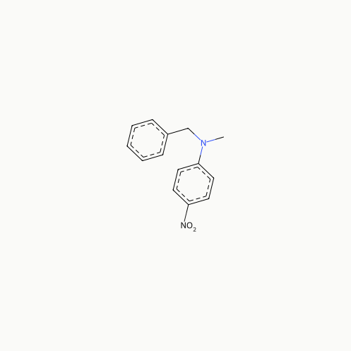 CN(Cc1ccccc1)c1ccc([N+](=O)[O-])cc1